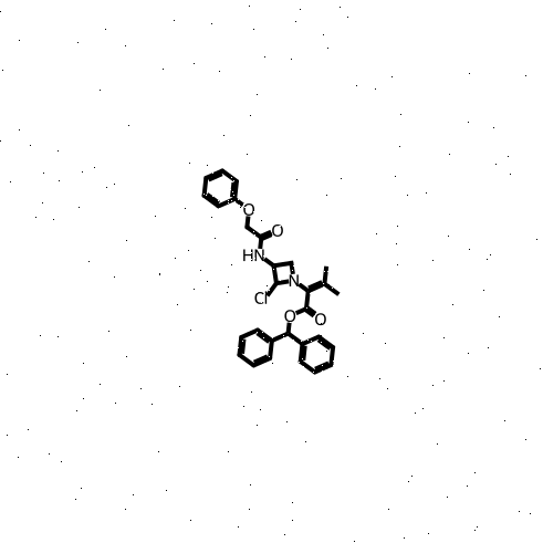 CC(C)=C(C(=O)OC(c1ccccc1)c1ccccc1)N1CC(NC(=O)COc2ccccc2)C1Cl